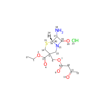 CCOC(=O)C1(COC(=O)CC(C)=O)CS[C@@H]2C(N)C(=O)N2C1.Cl